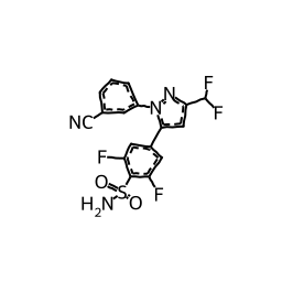 N#Cc1cccc(-n2nc(C(F)F)cc2-c2cc(F)c(S(N)(=O)=O)c(F)c2)c1